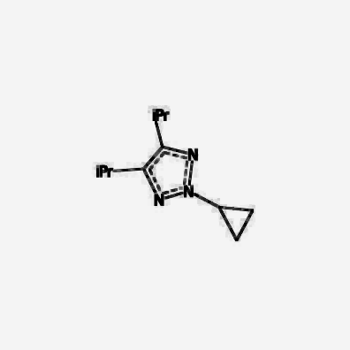 CC(C)c1nn(C2CC2)nc1C(C)C